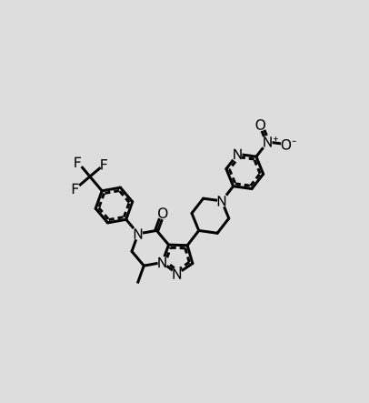 CC1CN(c2ccc(C(F)(F)F)cc2)C(=O)c2c(C3CCN(c4ccc([N+](=O)[O-])nc4)CC3)cnn21